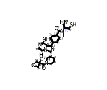 CC1(C(=O)N2CCC[C@@H](c3nc(-c4ccc(C(=O)N/C(C=N)=C/S)cc4)c4c(N)nccn34)C2)COC1